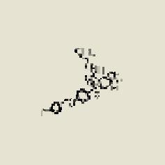 C=CCONC(=O)C1CC(C)(O)CCN1S(=O)(=O)c1ccc(OCc2ccc(F)cc2)cc1